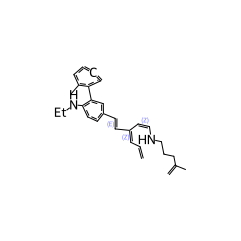 C=C/C=C(\C=C/NCCCC(=C)C)/C=C/c1ccc(NCC)c(-c2ccccc2C)c1